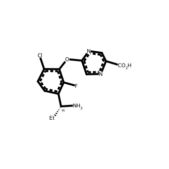 CC[C@@H](N)c1ccc(Cl)c(Oc2cnc(C(=O)O)cn2)c1F